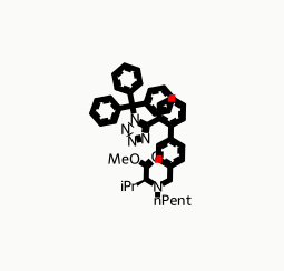 CCCCCN(Cc1ccc(-c2ccccc2-c2nnnn2C(c2ccccc2)(c2ccccc2)c2ccccc2)cc1)[C@H](C(=O)OC)C(C)C